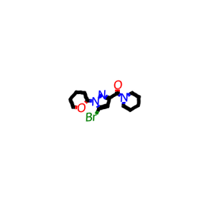 O=C(c1cc(Br)n(C2CCCCO2)n1)N1CCCCC1